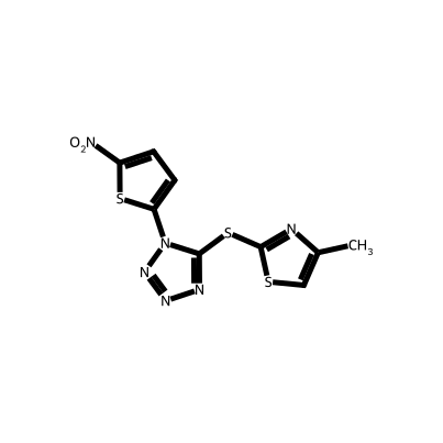 Cc1csc(Sc2nnnn2-c2ccc([N+](=O)[O-])s2)n1